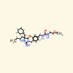 CCCCC1(CC2CCCCC2)NC(=N)N(Cc2ccc(CNC(=O)NCCOC)cc2)C1=O